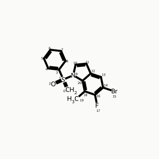 C=S(=O)(c1ccccc1)n1ccc2cc(Br)c(F)c(C)c21